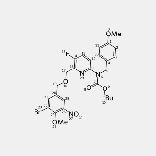 COc1ccc(CN(C(=O)OC(C)(C)C)c2ccc(F)c(COCc3cc(Br)c(OC)c([N+](=O)[O-])c3)n2)cc1